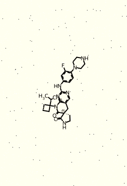 CC(C)C1(N2C(=O)[C@@]3(CCNC3=O)Cc3cnc(Nc4ccc(N5CCNCC5)c(F)c4)nc32)CCC1